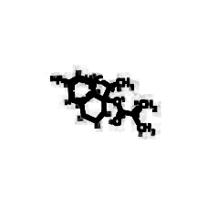 C=C(C)C(=O)OC1(C(C)C)CCCc2cc(F)ccc21